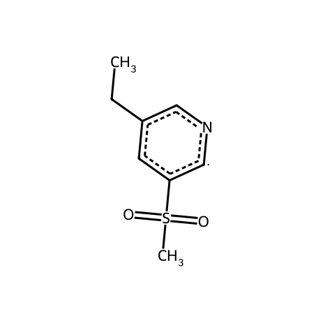 CCc1cn[c]c(S(C)(=O)=O)c1